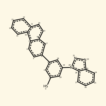 Sc1cc(-c2ccc3c(ccc4ccccc43)c2)cc(-n2nnc3ccccc32)c1